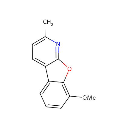 COc1cccc2c1oc1nc(C)ccc12